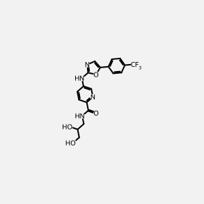 O=C(NCC(O)CO)c1ccc(Nc2ncc(-c3ccc(C(F)(F)F)cc3)o2)cn1